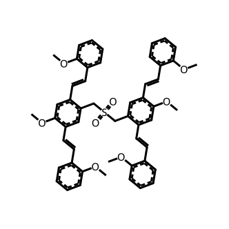 COc1ccccc1/C=C/c1cc(OC)c(/C=C/c2ccccc2OC)cc1CS(=O)(=O)Cc1cc(/C=C/c2ccccc2OC)c(OC)cc1/C=C/c1ccccc1OC